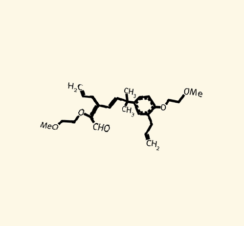 C=CCC(/C=C/C(C)(C)c1ccc(OCCOC)c(CC=C)c1)=C(/C=O)OCCOC